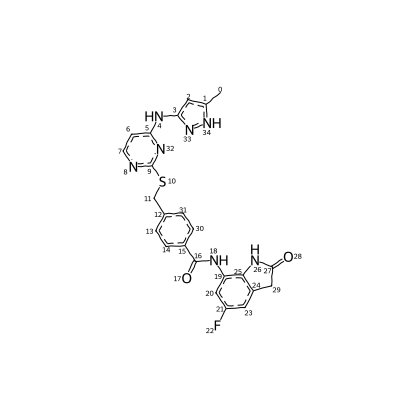 Cc1cc(Nc2ccnc(SCc3ccc(C(=O)Nc4cc(F)cc5c4NC(=O)C5)cc3)n2)n[nH]1